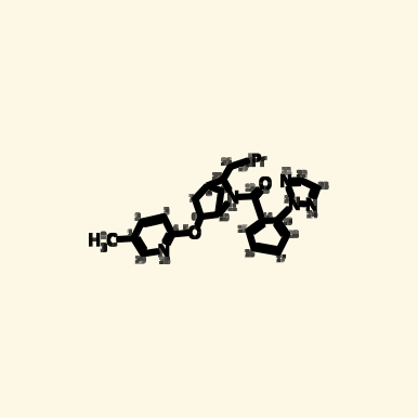 Cc1ccc(OC2CC3CC2N(C(=O)c2ccccc2-n2nccn2)C3CC(C)C)nc1